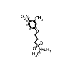 Cc1cc(OCCCS(=O)(=O)N(C)C)ccc1[N+](=O)[O-]